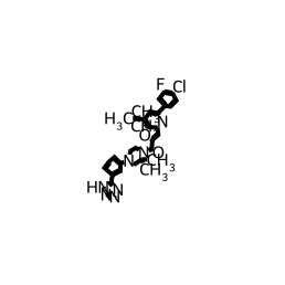 CC(C)(C)c1cc(-c2ccc(Cl)c(F)c2)nc2cc(C(=O)N3CCN(c4cccc(-c5nnn[nH]5)c4)CC3(C)C)oc12